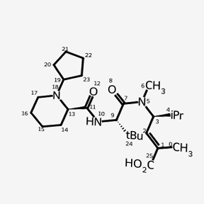 C/C(=C\[C@H](C(C)C)N(C)C(=O)[C@@H](NC(=O)[C@H]1CCCCN1C1CCCC1)C(C)(C)C)C(=O)O